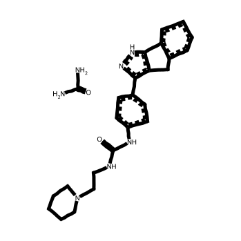 NC(N)=O.O=C(NCCN1CCCCC1)Nc1ccc(-c2n[nH]c3c2Cc2ccccc2-3)cc1